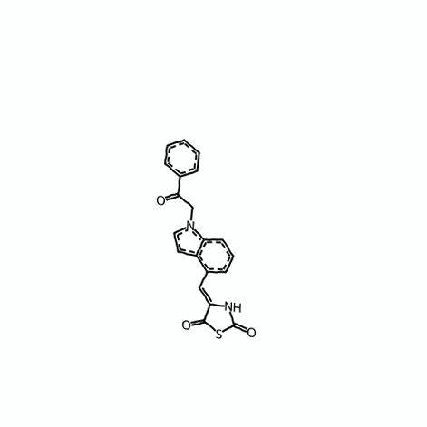 O=C1NC(=Cc2cccc3c2ccn3CC(=O)c2ccccc2)C(=O)S1